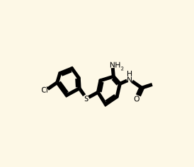 CC(=O)Nc1ccc(Sc2cccc(Cl)c2)cc1N